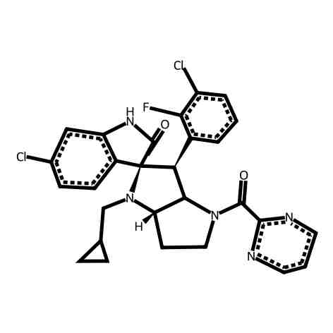 O=C(c1ncccn1)N1CC[C@H]2C1[C@H](c1cccc(Cl)c1F)[C@]1(C(=O)Nc3cc(Cl)ccc31)N2CC1CC1